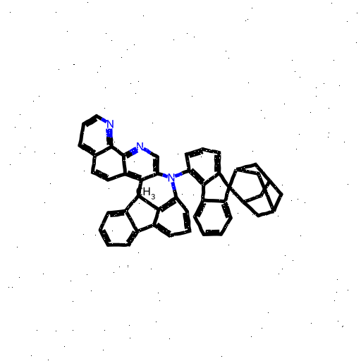 CC12c3ccccc3-c3cccc(c31)N(c1cccc3c1-c1ccccc1C31C3CC4CC(C3)CC1C4)c1cnc3c(ccc4cccnc43)c12